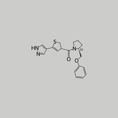 O=C(C1C=C(c2cn[nH]c2)SC1)N1CCC[C@H]1COc1ccccc1